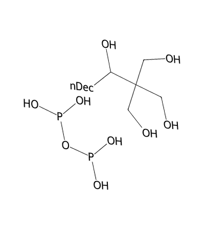 CCCCCCCCCCC(O)C(CO)(CO)CO.OP(O)OP(O)O